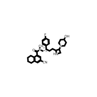 CN(C[C@@H](CCC1NCC1N1CCC(O)CC1)c1ccc(F)cc1)C(=O)c1cc(C#N)cc2c1CCCC2